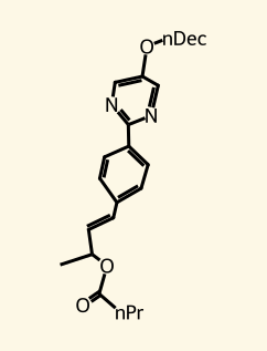 CCCCCCCCCCOc1cnc(-c2ccc(/C=C/C(C)OC(=O)CCC)cc2)nc1